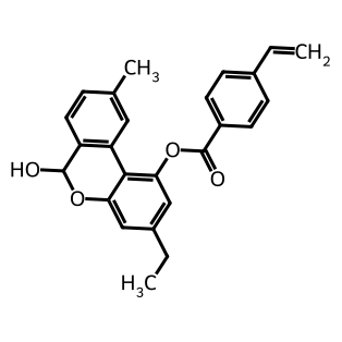 C=Cc1ccc(C(=O)Oc2cc(CC)cc3c2-c2cc(C)ccc2C(O)O3)cc1